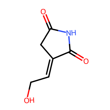 O=C1CC(=CCO)C(=O)N1